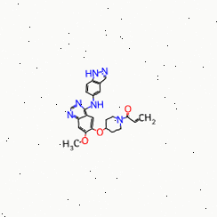 C=CC(=O)N1CCC(Oc2cc3c(Nc4ccc5[nH]ncc5c4)ncnc3cc2OC)CC1